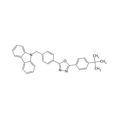 CC(C)(C)c1ccc(-c2nnc(-c3ccc(Cn4c5ccccc5c5ccccc54)cc3)o2)cc1